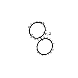 C1CCCCCCCCC(C2CCCCCNCCCCCCCCNCC2)CCCCCCCC1.O